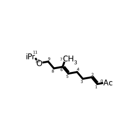 CC(=O)/C=C/CC/C=C(\C)CCOC(C)C